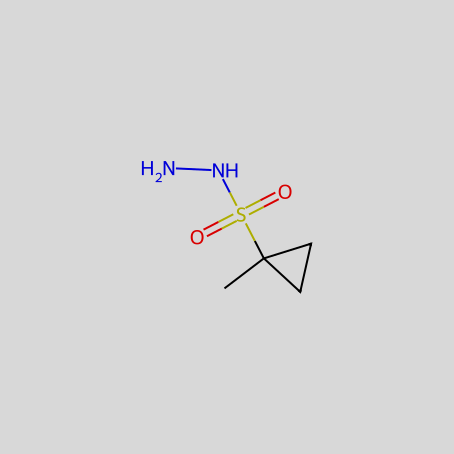 CC1(S(=O)(=O)NN)CC1